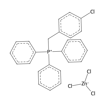 Clc1ccc(C[P+](c2ccccc2)(c2ccccc2)c2ccccc2)cc1.[Cl][Zn-]([Cl])[Cl]